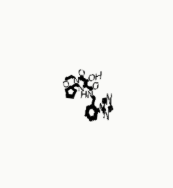 O=C(NCc1ccccc1-n1cncn1)c1nc2n(c(=O)c1O)CCOC21CCCC1